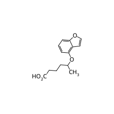 CC(CCCC(=O)O)Oc1cccc2occc12